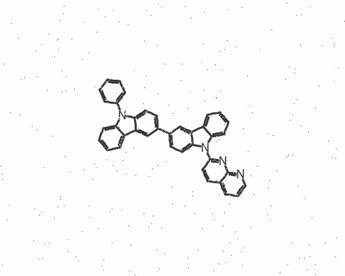 c1ccc(-n2c3ccccc3c3cc(-c4ccc5c(c4)c4ccccc4n5-c4ccc5cccnc5n4)ccc32)cc1